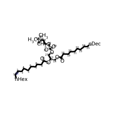 CCCCCC/C=C\CCCCCCCC(=O)O[C@H](COC(=O)CCCCCCCCCCCCCCCCCC)COP(=O)([O-])OCC[N+](C)(C)C